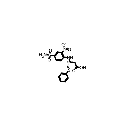 NS(=O)(=O)c1ccc(N[C@@H](CSc2ccccc2)CC(=O)O)c([N+](=O)[O-])c1